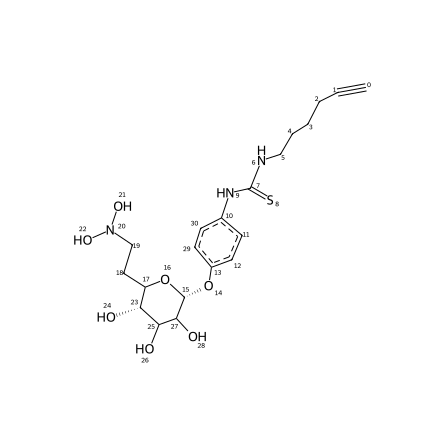 C#CCCCCNC(=S)Nc1ccc(O[C@H]2OC(CCN(O)O)[C@@H](O)C(O)C2O)cc1